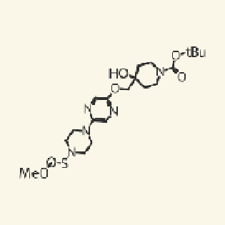 COOSN1CCN(c2cnc(OCC3(O)CCN(C(=O)OC(C)(C)C)CC3)cn2)CC1